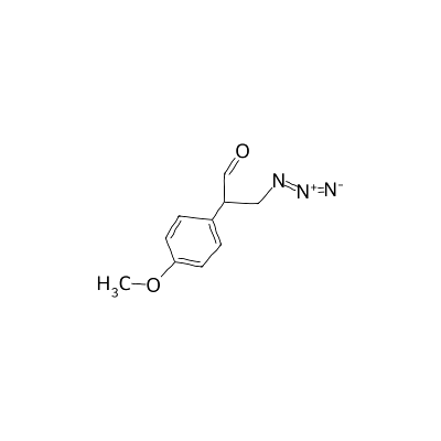 COc1ccc(C(C=O)CN=[N+]=[N-])cc1